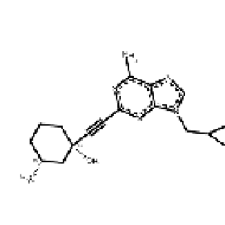 C[C@@H]1CCC[C@@](O)(C#Cc2nc(N)c3ncn(CC4CC4)c3n2)C1